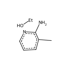 CCO.Cc1cccnc1N